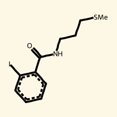 CSCCCNC(=O)c1ccccc1I